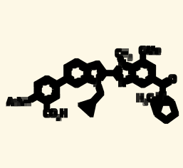 COc1cc(C(=O)N2CC3CCC2[C@@H]3C)cc2nc(-c3cc4ccc(-c5ccc(NC(C)=O)c(C(=O)O)c5)cc4n3CC3CC3)n(C)c12